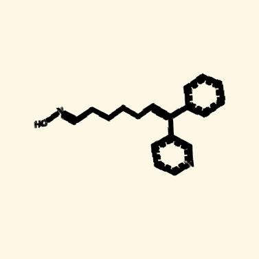 ON=CCCCCC=C(c1ccccc1)c1cccnc1